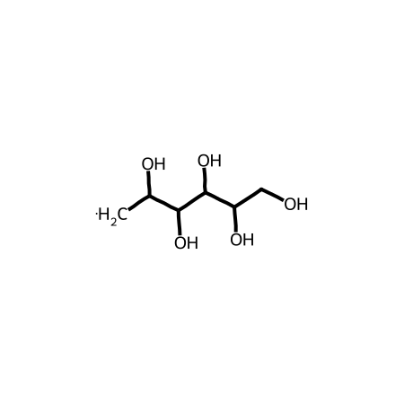 [CH2]C(O)C(O)C(O)C(O)CO